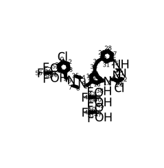 Clc1ccc(CN2CCN(Cc3cc4cc(c3)Nc3nc(ncc3Cl)Nc3cccc(c3)CC4)CC2)cc1.O=C(O)C(F)(F)F.O=C(O)C(F)(F)F.O=C(O)C(F)(F)F